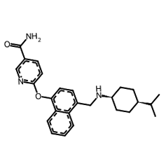 CC(C)[C@H]1CC[C@@H](NCc2ccc(Oc3ccc(C(N)=O)cn3)c3ccccc23)CC1